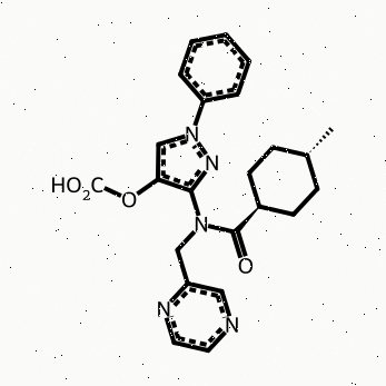 C[C@H]1CC[C@H](C(=O)N(Cc2cnccn2)c2nn(-c3ccccc3)cc2OC(=O)O)CC1